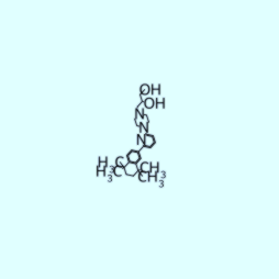 CC1(C)CCC(C)(C)c2cc(-c3cccc(N4CCN(C[C@H](O)CO)CC4)n3)ccc21